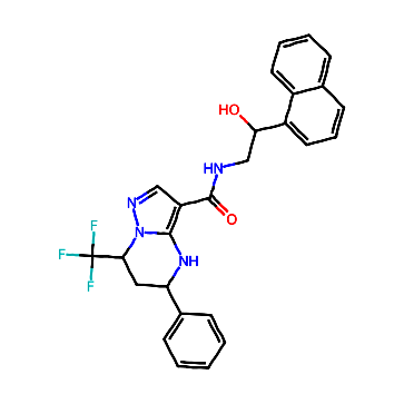 O=C(NCC(O)c1cccc2ccccc12)c1cnn2c1NC(c1ccccc1)CC2C(F)(F)F